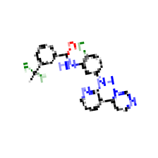 CC(F)(F)c1cccc(C(=O)Nc2cc(Nc3ncccc3-c3ccncn3)ccc2F)c1